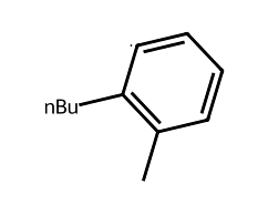 CCCCc1[c]cccc1C